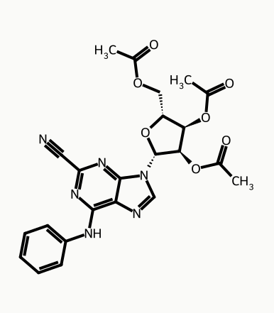 CC(=O)OC[C@H]1O[C@@H](n2cnc3c(Nc4ccccc4)nc(C#N)nc32)[C@H](OC(C)=O)[C@@H]1OC(C)=O